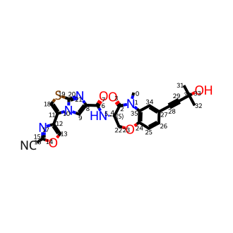 CN1C(=O)[C@@H](NC(=O)c2cn3c(-c4coc(C#N)n4)csc3n2)COc2ccc(C#CC(C)(C)O)cc21